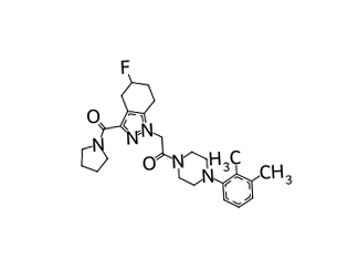 Cc1cccc(N2CCN(C(=O)Cn3nc(C(=O)N4CCCC4)c4c3CCC(F)C4)CC2)c1C